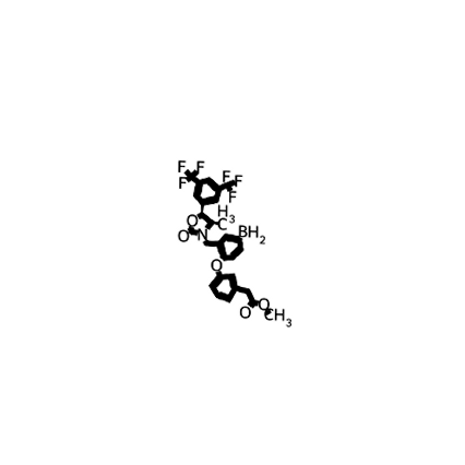 Bc1ccc(Oc2cccc(CC(=O)OC)c2)c(CN2C(=O)O[C@@H](c3cc(C(F)(F)F)cc(C(F)(F)F)c3)[C@H]2C)c1